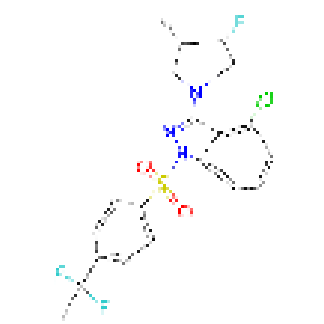 C[C@H]1CN(c2nn(S(=O)(=O)c3ccc(C(C)(F)F)cc3)c3cccc(Cl)c23)C[C@H]1F